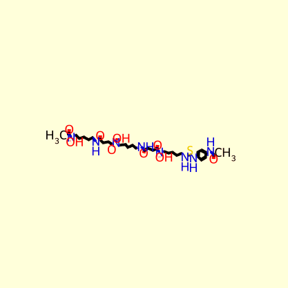 CC(=O)Nc1ccc(NC(=S)NCCCCCN(O)C(=O)CCC(=O)NCCCCCN(O)C(=O)CCC(=O)NCCCCCN(O)C(C)=O)cc1